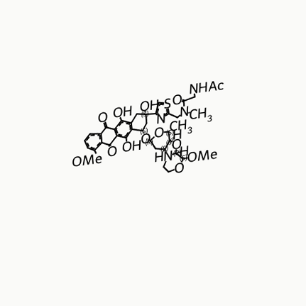 COc1cccc2c1C(=O)c1c(O)c3c(c(O)c1C2=O)C[C@@](O)(c1csc(CN(C)C(=O)CNC(C)=O)n1)C[C@@H]3O[C@H]1C[C@H]2[C@H](O[C@@H]3[C@@H](OC)OCCN32)[C@H](C)O1